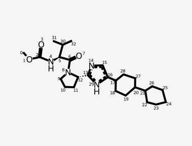 COC(=O)N[C@H](C(=O)N1CCC[C@H]1c1ncc(C2CCC(C3CCCCC3)CC2)[nH]1)C(C)C